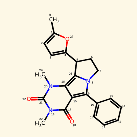 Cc1ccc(C2CCn3c(-c4ccccc4)c4c(=O)n(C)c(=O)n(C)c4c32)o1